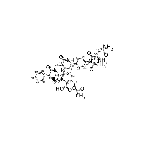 CC(=O)OCC1=C(C(=O)O)N2C(=O)C(N(Cc3ccc(-c4ccc(N(C(C)=O)C(=O)[C@H](N)CC(N)=O)cc4)[nH]c3=O)C(=O)C(N)c3ccccc3)[C@@H]2SC1